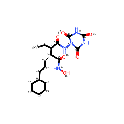 CC(C)CC(C(=O)Nn1c(=O)[nH]c(=O)[nH]c1=O)[C@@H](CCCC1CCCCC1)C(=O)NO